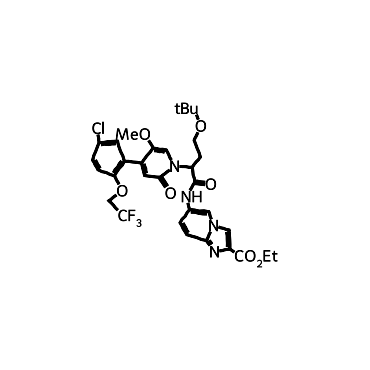 CCOC(=O)c1cn2cc(NC(=O)C(CCOC(C)(C)C)n3cc(OC)c(-c4cc(Cl)ccc4OCC(F)(F)F)cc3=O)ccc2n1